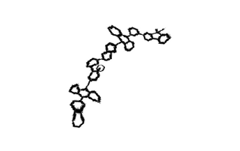 CC1(C)c2ccccc2-c2ccc(-c3cccc(-c4c5ccccc5c(-c5ccc6cc(-c7cccc8c7oc7ccc(-c9c%10ccccc%10c(-c%10ccc%11ccccc%11c%10)c%10ccccc9%10)cc78)ccc6c5)c5ccccc45)c3)cc21